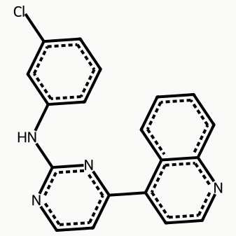 Clc1cccc(Nc2nccc(-c3ccnc4ccccc34)n2)c1